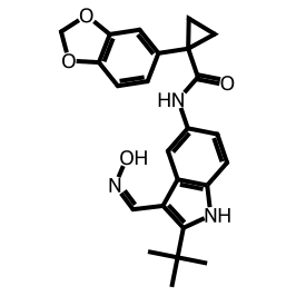 CC(C)(C)c1[nH]c2ccc(NC(=O)C3(c4ccc5c(c4)OCO5)CC3)cc2c1/C=N\O